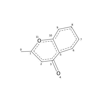 Cc1cc(=O)c2cc[c]cc2o1